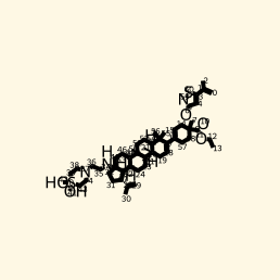 C=C(C)c1cc(OCC2(C(=O)OCC)CC=C(C3=CC[C@]4(C)[C@H]5CC[C@@H]6[C@H]7[C@H](C(=C)C)CC[C@]7(NCCN7CCS(O)(O)CC7)CC[C@@]6(C)[C@]5(C)CC[C@H]4C3(C)C)CC2)ns1